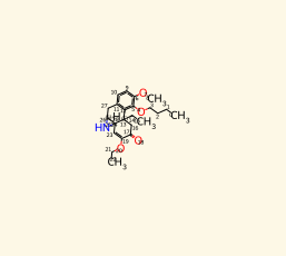 CCCCOc1c(OC)ccc2c1[C@]1(CC)CC(=O)C(OCC)=CC13N[C@H]3C2